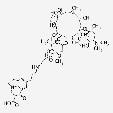 CO[C@]1(C)C[C@H](O[C@H]2[C@H](C)[C@@H](O[C@@H]3O[C@H](C)C[C@H](N(C)C)[C@H]3O)[C@](C)(O)C[C@@H](C)CN(C)C[C@H](O)[C@@]3(O)CC[C@H]3OC(=O)[C@@H]2C)O[C@@H](C)[C@@H]1OC(=O)CCNCCCc1cc2c3c(c1)c(=O)c(C(=O)O)cn3CC2